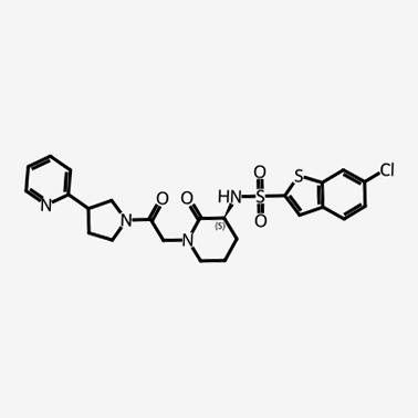 O=C(CN1CCC[C@H](NS(=O)(=O)c2cc3ccc(Cl)cc3s2)C1=O)N1CCC(c2ccccn2)C1